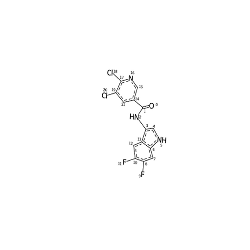 O=C(Nc1c[nH]c2cc(F)c(F)cc12)c1cnc(Cl)c(Cl)c1